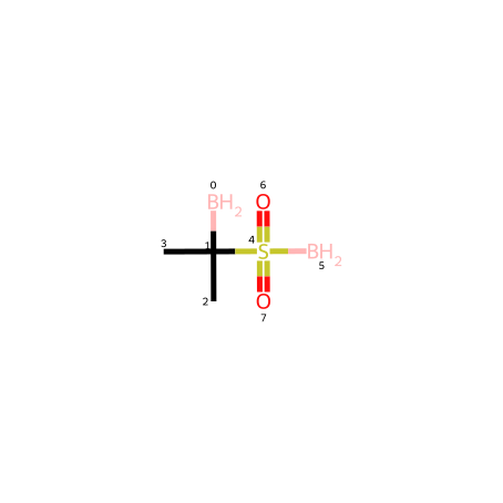 BC(C)(C)S(B)(=O)=O